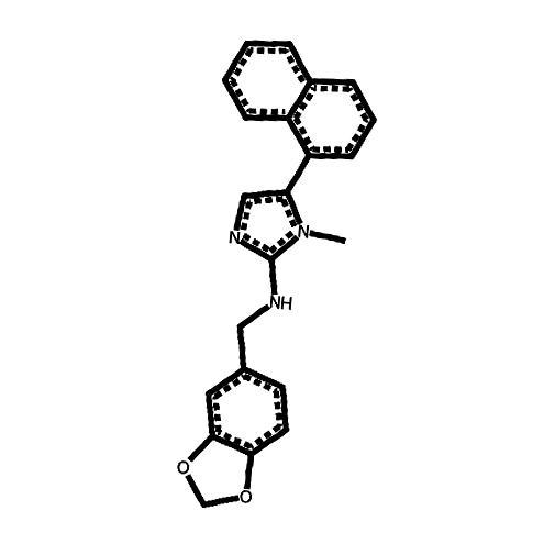 Cn1c(-c2cccc3ccccc23)cnc1NCc1ccc2c(c1)OCO2